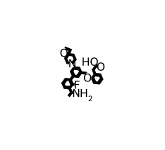 CC(N)c1cccc(-c2cc(COc3ccccc3CC(=O)O)cc(N3CCC4(CCO4)CC3)c2)c1F